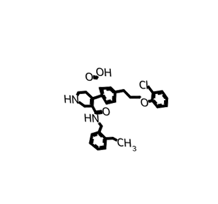 CCc1ccccc1CNC(=O)C1=C(c2ccc(CCCOc3ccccc3Cl)cc2)CCNC1.O=CO